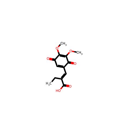 CC/C(=C\C1=CC(=O)C(OC)=C(OC)C1=O)C(=O)O